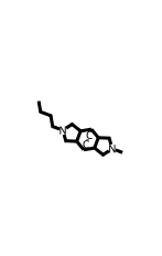 CCCCN1CC2C3CCC(C4CN(C)CC34)C2C1